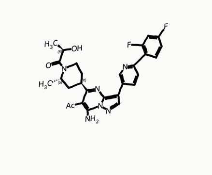 CC(=O)c1c([C@@H]2CCN(C(=O)[C@@H](C)O)[C@@H](C)C2)nc2c(-c3ccc(-c4ccc(F)cc4F)nc3)cnn2c1N